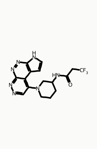 O=C(CC(F)(F)F)NC1CCCN(c2cnnc3nnc4[nH]ccc4c23)C1